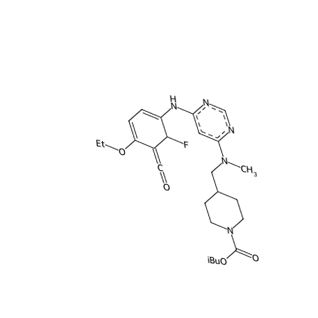 CCOC1=CC=C(Nc2cc(N(C)CC3CCN(C(=O)OCC(C)C)CC3)ncn2)C(F)C1=C=O